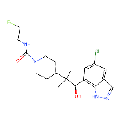 CC(C)(C1CCN(C(=O)NCCF)CC1)[C@H](O)c1cc(Cl)cc2cn[nH]c12